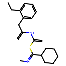 C=C(Cc1ccccc1CC)NC(=C)S/C(=N\C)C1CCCCC1